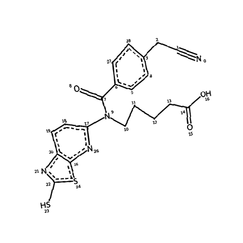 N#CCc1ccc(C(=O)N(CCCCC(=O)O)c2ccc3nc(S)sc3n2)cc1